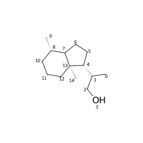 CC(CO)[C@H]1CCC2[C@@H](C)CCC[C@@]21C